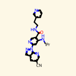 CC(C)Nc1cc(-n2ncc3cc(C#N)cnc32)ncc1C(=O)NCCc1cccnc1